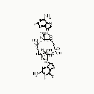 Nc1nc2c(ncn2[C@@H]2O[C@@H]3OCP(=O)(O)O[C@@H]4[C@H](F)[C@H](n5cnc6c(N)nc(F)nc65)O[C@@H]4COP(=O)(O)O[C@H]2[C@H]3O)c(=O)[nH]1